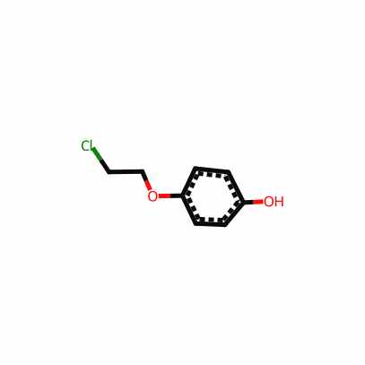 Oc1ccc(OCCCl)cc1